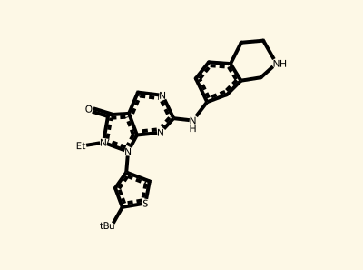 CCn1c(=O)c2cnc(Nc3ccc4c(c3)CNCC4)nc2n1-c1csc(C(C)(C)C)c1